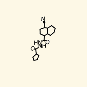 N#CC1CCC(C(=O)NNC(=O)C2CCCC2)C2CCCCC12